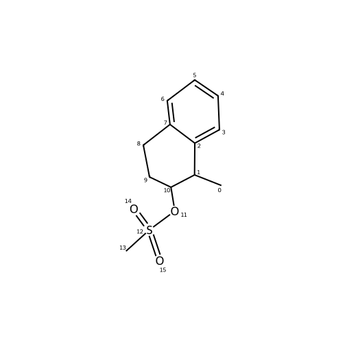 CC1c2ccccc2CCC1OS(C)(=O)=O